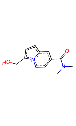 CN(C)C(=O)c1ccn2c(CO)ccc2c1